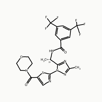 Cc1nc([C@H](C)NC(=O)c2cc(C(F)(F)F)cc(C(F)(F)F)c2)n(-c2ncc(C(=O)N3CCOCC3)s2)n1